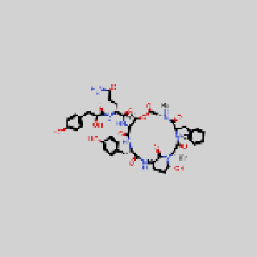 CC[C@H](C)[C@@H]1NC(=O)C(Cc2ccccc2)N(C)C(=O)[C@H](C(C)C)N2C(=O)[C@H](CC[C@H]2O)NC(=O)[C@H](Cc2ccc(O)cc2)NC(=O)[C@@H](NC(=O)[C@H](CCC(N)=O)NC(=O)C(O)Cc2ccc(O)cc2)[C@@H](C)OC1=O